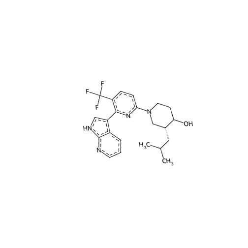 CC(C)C[C@@H]1CN(c2ccc(C(F)(F)F)c(-c3c[nH]c4ncccc34)n2)CCC1O